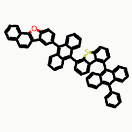 c1ccc(-c2c3ccccc3c(-c3cccc4sc5c(-c6c7ccccc7c(-c7ccc8oc9c%10ccccc%10ccc9c8c7)c7ccccc67)cccc5c34)c3ccccc23)cc1